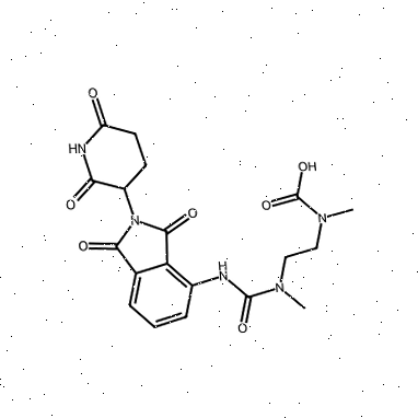 CN(CCN(C)C(=O)Nc1cccc2c1C(=O)N(C1CCC(=O)NC1=O)C2=O)C(=O)O